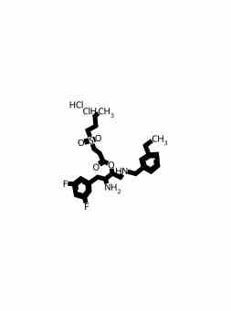 CCCCS(=O)(=O)CCC(=O)OC(CNCc1cccc(CC)c1)C(N)Cc1cc(F)cc(F)c1.Cl.Cl